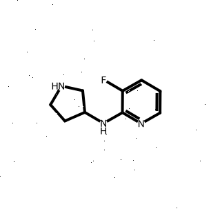 Fc1cccnc1NC1CCNC1